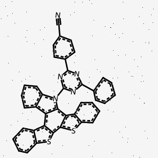 N#Cc1ccc(-c2nc(-c3ccccc3)nc(-n3c4ccccc4c4c5c6ccccc6sc5c5sc6ccccc6c5c43)n2)cc1